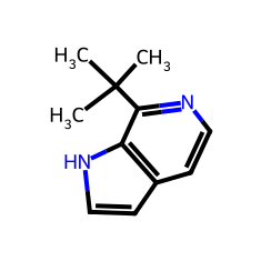 CC(C)(C)c1nccc2cc[nH]c12